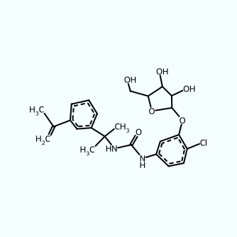 C=C(C)c1cccc(C(C)(C)NC(=O)Nc2ccc(Cl)c(OC3OC(CO)C(O)C3O)c2)c1